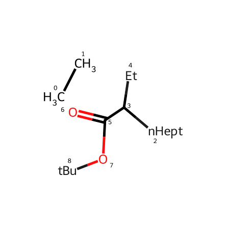 CC.CCCCCCCC(CC)C(=O)OC(C)(C)C